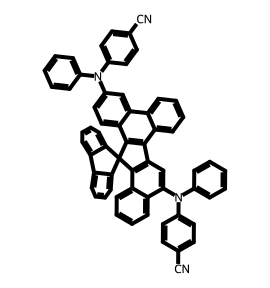 N#Cc1ccc(N(c2ccccc2)c2ccc3c4c(c5ccccc5c3c2)-c2cc(N(c3ccccc3)c3ccc(C#N)cc3)c3ccccc3c2C42c3ccccc3-c3ccccc32)cc1